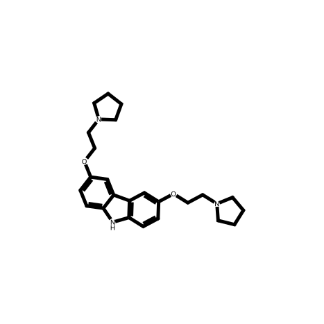 c1cc2[nH]c3ccc(OCCN4CCCC4)cc3c2cc1OCCN1CCCC1